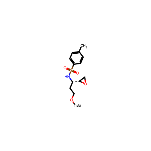 CCCCOCCC(NS(=O)(=O)c1ccc(C)cc1)[C@@H]1CO1